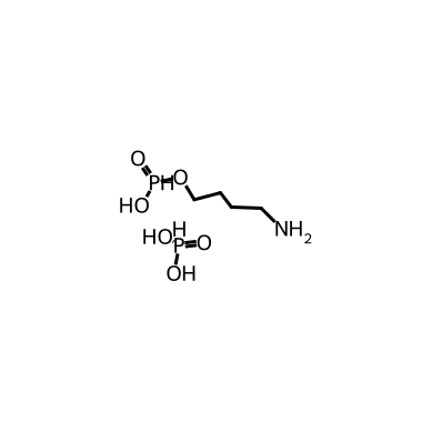 NCCCCO[PH](=O)O.O=[PH](O)O